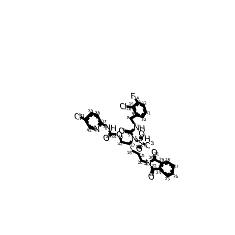 CS(=O)(=O)N(C(=O)NCc1cccc(F)c1Cl)[C@H](CCCN1C(=O)c2ccccc2C1=O)COC(=O)Nc1ccc(Cl)cn1